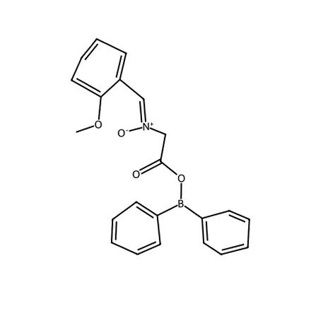 COc1ccccc1C=[N+]([O-])CC(=O)OB(c1ccccc1)c1ccccc1